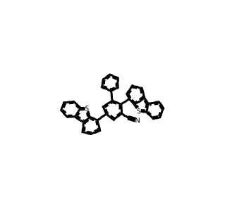 N#Cc1cc(-c2cccc3c2sc2ccccc23)cc(-c2ccccc2)c1-c1cccc2c1sc1ccccc12